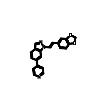 C(=Cn1ncc2ccc(-c3ccncc3)cc21)c1ccc2c(c1)OCO2